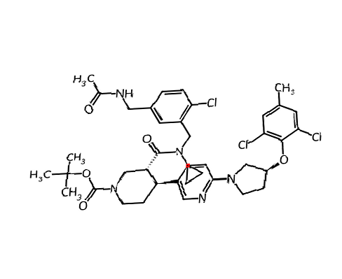 CC(=O)NCc1ccc(Cl)c(CN(C(=O)[C@H]2CN(C(=O)OC(C)(C)C)CC[C@@H]2c2ccc(N3CC[C@H](Oc4c(Cl)cc(C)cc4Cl)C3)nc2)C2CC2)c1